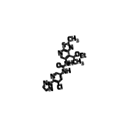 CCOC(C)c1c(NC(=O)Nc2cnc(-n3nccn3)c(Cl)c2)cnc2sc(C)nc12